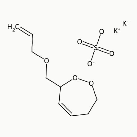 C=CCOCC1C=CCCOO1.O=S(=O)([O-])[O-].[K+].[K+]